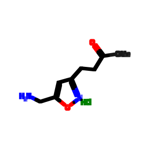 COC(=O)CCc1cc(CN)on1.Cl